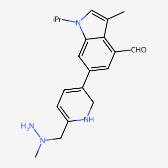 Cc1cn(C(C)C)c2cc(C3=CC=C(CN(C)N)NC3)cc(C=O)c12